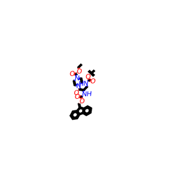 CCOC(=O)N1CCN(C(=O)C(CNC(=O)OC(C)(C)C)NC(=O)OCC2c3ccccc3-c3ccccc32)CC1